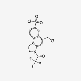 O=C(N1CCc2c1cc(CCl)c1cc(S(=O)(=O)Cl)ccc21)C(F)(F)F